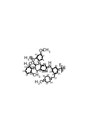 COc1ccc(N2C(=O)N(c3c(C)cccc3C)Cc3cnc(Nc4cc(CN5CCN(C)CC5)cc(C(F)(F)F)c4)nc32)c(OC)c1